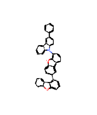 c1ccc(-c2ccc3c(c2)c2ccccc2n3-c2cccc3c2oc2ccc(-c4cccc5oc6ccccc6c45)cc23)cc1